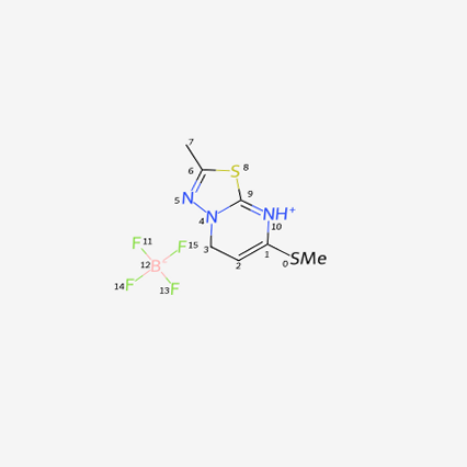 CSC1=CCN2N=C(C)SC2=[NH+]1.F[B-](F)(F)F